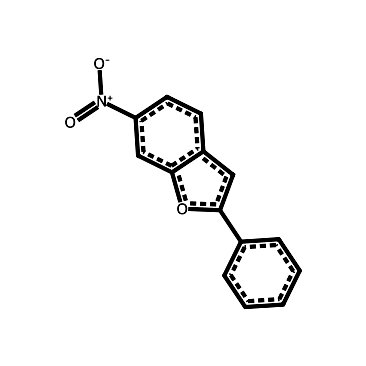 O=[N+]([O-])c1ccc2cc(-c3ccccc3)oc2c1